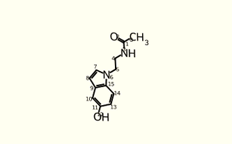 CC(=O)NCCn1ccc2cc(O)ccc21